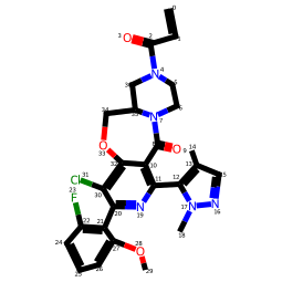 C=CC(=O)N1CCN2C(=O)c3c(-c4c(C)cnn4C)nc(-c4c(F)cccc4OC)c(Cl)c3OCC2C1